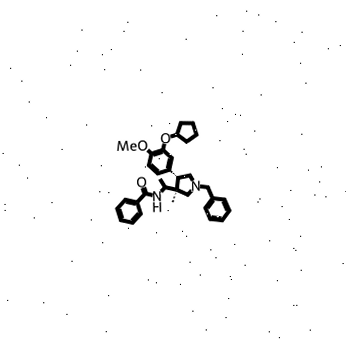 COc1ccc([C@@H]2CN(Cc3ccccc3)C[C@@]2(C)C(C)NC(=O)c2ccccc2)cc1OC1CCCC1